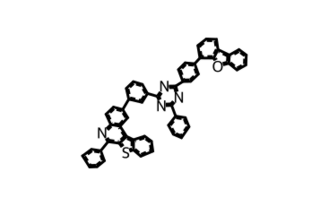 c1ccc(-c2nc(-c3ccc(-c4cccc5c4oc4ccccc45)cc3)nc(-c3cccc(-c4ccc5nc(-c6ccccc6)c6sc7ccccc7c6c5c4)c3)n2)cc1